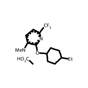 CC(=O)O.CCC1CCC(Oc2nc(C(F)(F)F)ccc2NC)CC1